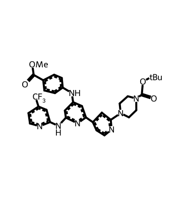 COC(=O)c1ccc(Nc2cc(Nc3cc(C(F)(F)F)ccn3)nc(-c3ccnc(N4CCN(C(=O)OC(C)(C)C)CC4)c3)c2)cc1